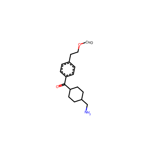 NCC1CCC(C(=O)c2ccc(CCOC=O)cc2)CC1